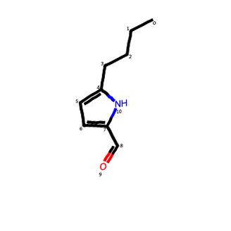 CCCCc1ccc(C=O)[nH]1